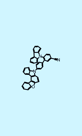 N#Cc1ccc(-n2c3ccccc3c3ccccc32)c(-c2ccc(-n3c4ccccc4c4c5c(ccc43)oc3ccccc35)cc2)c1